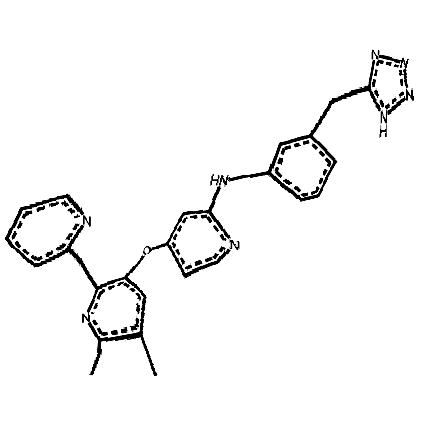 Cc1cc(Oc2ccnc(Nc3cccc(Cc4nnn[nH]4)c3)c2)c(-c2ccccn2)nc1C